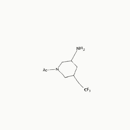 CC(=O)N1CC(N)CC(C(F)(F)F)C1